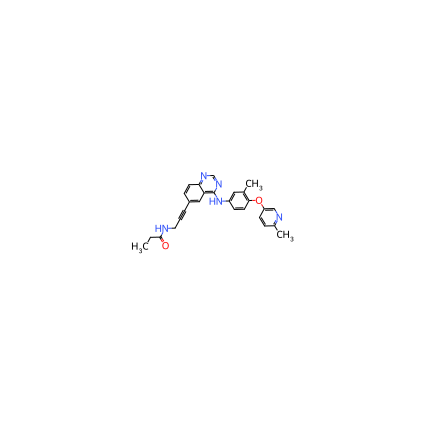 CCC(=O)NCC#Cc1ccc2ncnc(Nc3ccc(Oc4ccc(C)nc4)c(C)c3)c2c1